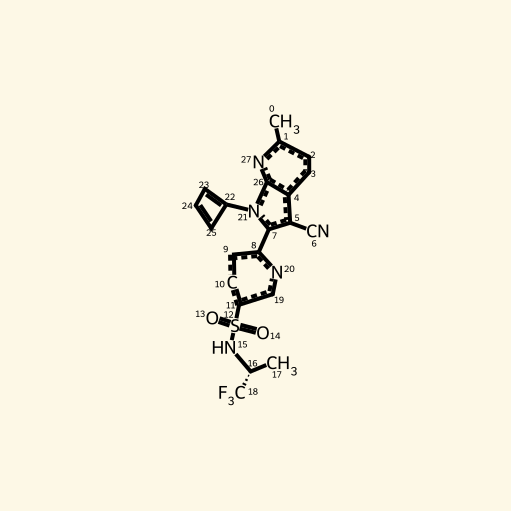 Cc1ccc2c(C#N)c(-c3ccc(S(=O)(=O)N[C@H](C)C(F)(F)F)cn3)n(C3=CC=C3)c2n1